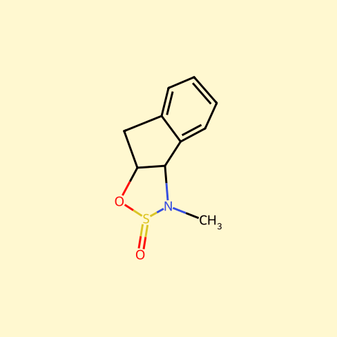 CN1C2c3ccccc3CC2OS1=O